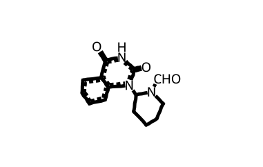 O=CN1CCCCC1n1c(=O)[nH]c(=O)c2ccccc21